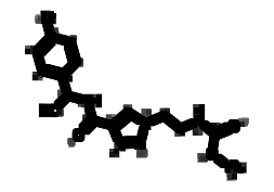 CCc1ccc(C(C#N)NC(=O)c2cn(CCNC(=O)OC(C)(C)C)nn2)cc1